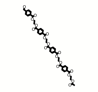 CC(=O)OCCOC(=O)c1ccc(C(=O)OCCOC(=O)c2ccc(C(=O)OCCOC(=O)c3ccc(C(=O)OCCOC(=O)c4ccc(C=O)cc4)cc3)cc2)cc1